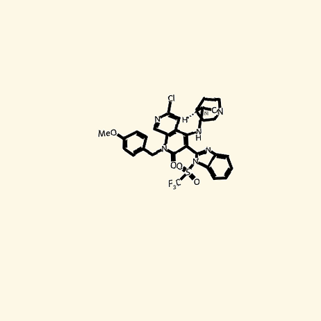 COc1ccc(Cn2c(=O)c(-c3nc4ccccc4n3S(=O)(=O)C(F)(F)F)c(N[C@@H]3CN4CCC3CC4)c3cc(Cl)ncc32)cc1